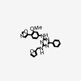 COc1cc(Nc2nc(NCc3ccco3)nc(-c3ccccc3)n2)ccc1-c1cnco1